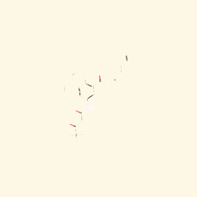 C=CCOC(C)(C)OC(=O)c1cc(NC(=O)CC(=O)C(F)(F)F)ccc1Cl.CCOCC